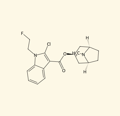 CN1[C@@H]2CC[C@H]1C[C@@H](OC(=O)c1c(Cl)n(CCF)c3ccccc13)C2